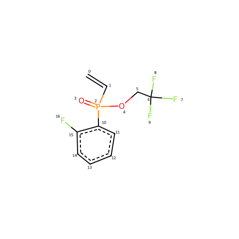 C=CP(=O)(OCC(F)(F)F)c1ccccc1F